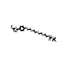 CSc1nnc(-c2ccc(OCCOCCOCCOCCNC(=O)OC(C)(C)C)cc2)o1